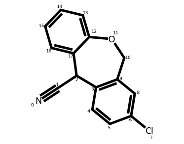 N#CC1c2ccc(Cl)cc2COc2ccccc21